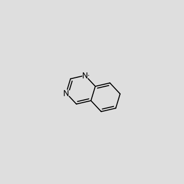 C1=CC2=CN=C[N]C2=CC1